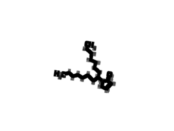 CCCCCCCC(CCCCCCC)N1CC=CC1=O